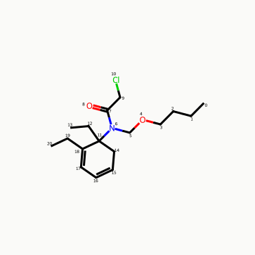 CCCCOCN(C(=O)CCl)C1(CC)CC=CC=C1CC